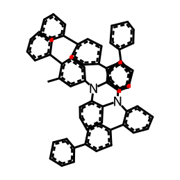 Cc1cc(N(c2ccccc2-c2ccc(-c3ccccc3)cc2)c2ccccc2N(c2ccc(-c3ccccc3)cc2)c2ccccc2-c2ccc(-c3ccccc3)cc2)ccc1-c1ccccc1